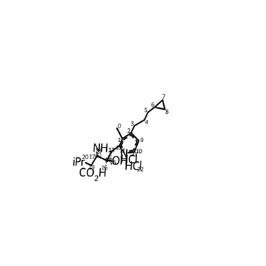 Cc1c(CCCC2CC2)ccnc1C[C@](O)(C(=O)O)[C@@H](N)CC(C)C.Cl.Cl